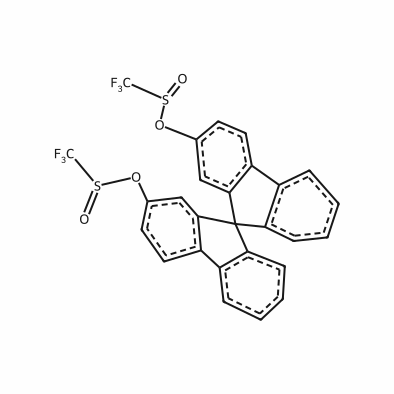 O=S(Oc1ccc2c(c1)C1(c3ccccc3-2)c2ccccc2-c2ccc(OS(=O)C(F)(F)F)cc21)C(F)(F)F